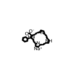 O=C([O-])c1c(-c2ccccc2)c2cc3nc(cc4ccc(cc5nc(cc1[nH]2)C=C5)[nH]4)C=C3.[Na+]